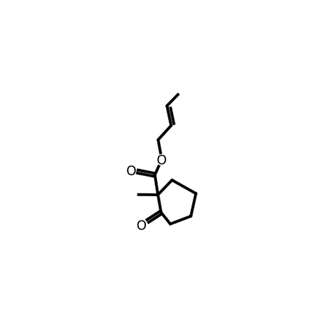 C/C=C/COC(=O)C1(C)CCCCC1=O